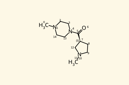 CN1CCN(C(=O)[C@H]2CCN(C)C2)CC1